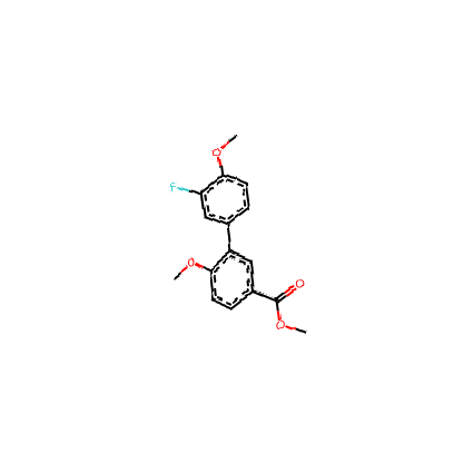 COC(=O)c1ccc(OC)c(-c2ccc(OC)c(F)c2)c1